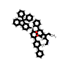 C=Cc1c(/C=C\C)sc2ccc(-c3ccccc3N(c3ccc(-c4ccc(-c5ccccc5)cc4)cc3)c3ccc4c(c3)C(c3ccccc3)(c3ccccc3)c3ccccc3-4)cc12